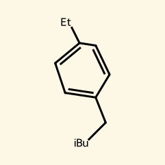 CCc1ccc(CC(C)CC)cc1